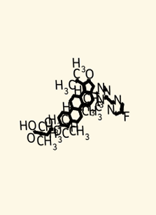 CC(C)C1=C2[C@H]3CC[C@@H]4[C@@]5(C)CC[C@H](OC(=O)CC(C)(C)C(=O)O)C(C)(C)[C@@H]5CC[C@@]4(C)[C@]3(C)CC[C@@]2(c2nnc(-c3ncc(F)cn3)n2C)CC1=O